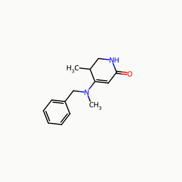 CC1CNC(=O)C=C1N(C)Cc1ccccc1